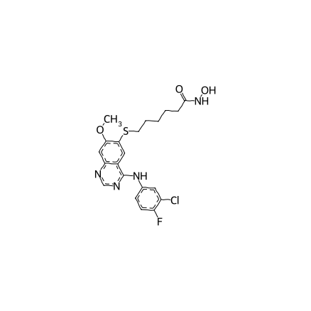 COc1cc2ncnc(Nc3ccc(F)c(Cl)c3)c2cc1SCCCCCC(=O)NO